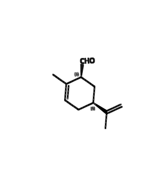 C=C(C)[C@H]1CC=C(C)[C@@H](C=O)C1